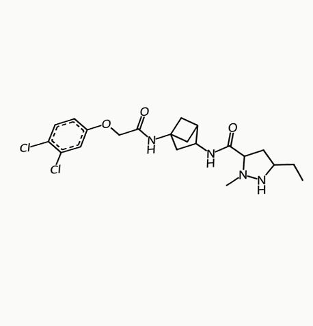 CCC1CC(C(=O)NC2CC3(NC(=O)COc4ccc(Cl)c(Cl)c4)CC2C3)N(C)N1